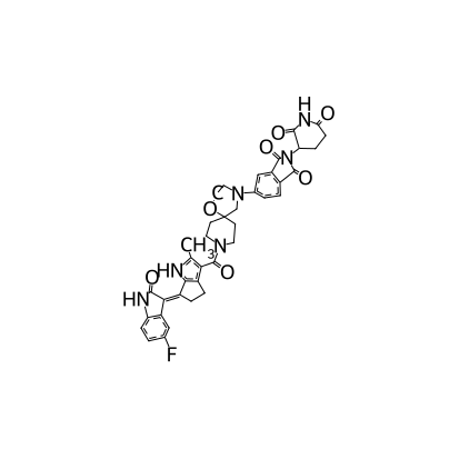 Cc1[nH]c2c(c1C(=O)N1CCC3(CC1)CN(c1ccc4c(c1)C(=O)N(C1CCC(=O)NC1=O)C4=O)CCO3)CCC2=C1C(=O)Nc2ccc(F)cc21